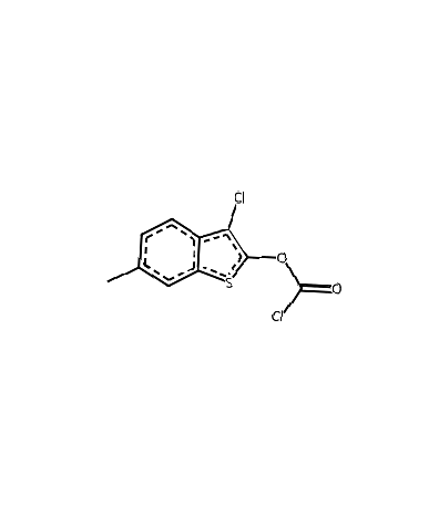 Cc1ccc2c(Cl)c(OC(=O)Cl)sc2c1